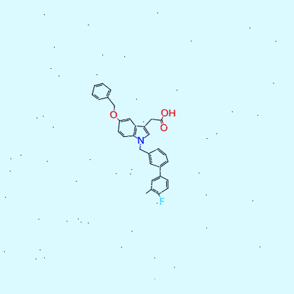 Cc1cc(-c2cccc(Cn3cc(CC(=O)O)c4cc(OCc5ccccc5)ccc43)c2)ccc1F